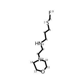 FCSCCCNCCN1CCOCC1